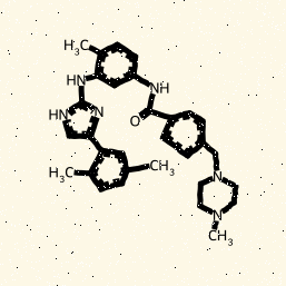 Cc1ccc(C)c(-c2c[nH]c(Nc3cc(NC(=O)c4ccc(CN5CCN(C)CC5)cc4)ccc3C)n2)c1